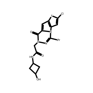 CC(C)c1nn(CC(=O)NC2CC(O)C2)c(=O)c2cc3sc(Cl)cc3n12